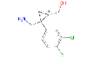 NCC1(c2ccc(Cl)c(Cl)c2)C[C@@H]1CO